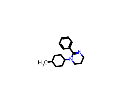 CC1CCC(N2CCCN=C2c2ccccc2)CC1